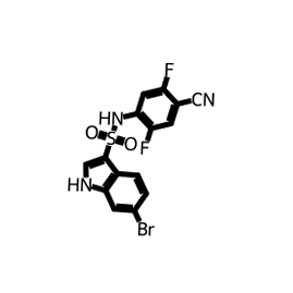 N#Cc1cc(F)c(NS(=O)(=O)c2c[nH]c3cc(Br)ccc23)cc1F